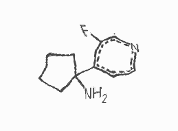 NC1(c2ccn[c]c2F)CCCC1